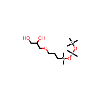 C[Si](C)(C)O[Si](C)(C)O[Si](C)(C)CCCOCC(O)CO